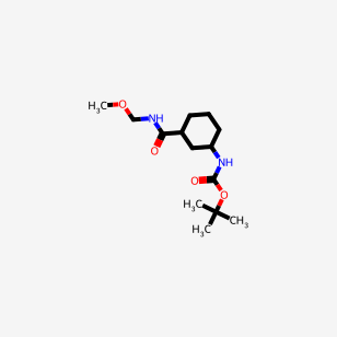 COCNC(=O)C1CCCC(NC(=O)OC(C)(C)C)C1